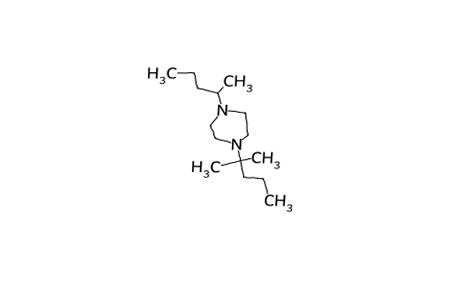 CCCC(C)N1CCN(C(C)(C)CCC)CC1